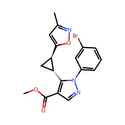 COC(=O)c1cnn(-c2cccc(Br)c2)c1[C@@H]1C[C@H]1c1cc(C)no1